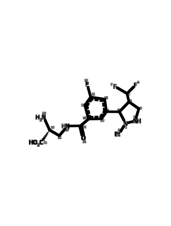 CCN1NCC(C(F)F)C1c1cc(F)cc(C(=O)NC[C@@H](N)C(=O)O)c1